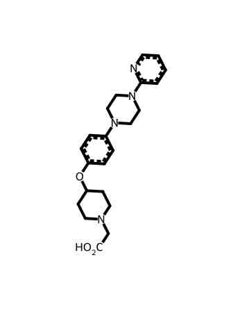 O=C(O)CN1CCC(Oc2ccc(N3CCN(c4ccccn4)CC3)cc2)CC1